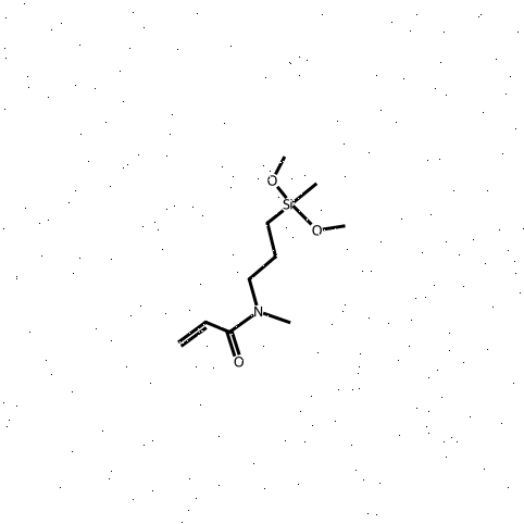 C=CC(=O)N(C)CCC[Si](C)(OC)OC